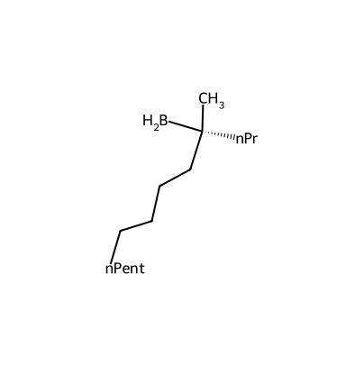 B[C@](C)(CCC)CCCCCCCCC